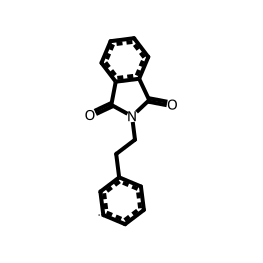 O=C1c2ccccc2C(=O)N1CCc1c[c]ccc1